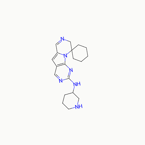 C1=NCC2(CCCCC2)n2c1cc1cnc(NC3CCCNC3)nc12